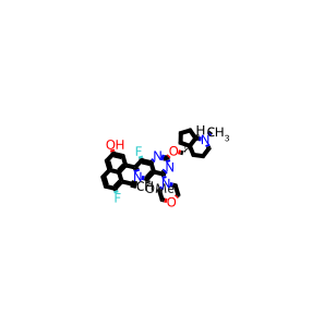 C#Cc1c(F)ccc2cc(O)cc(-c3nc(OC)c4c(N5CCOCC5)nc(OC[C@]56CCC[C@H]5N(C)CCC6)nc4c3F)c12